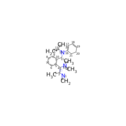 C=N/C(C)=C(/c1ccccc1CN(C(=C)C)C1=CC=CCC1)N(C)C